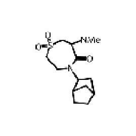 CNC1CS(=O)(=O)CCN(C2CC3CCC2C3)C1=O